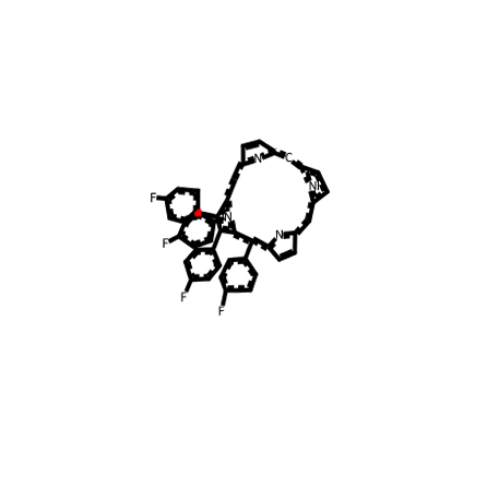 Fc1ccc(-c2c(-c3ccc(F)cc3)c3c(-c4ccc(F)cc4)c4nc(cc5ccc(cc6nc(cc2n3-c2ccc(F)cc2)C=C6)[nH]5)C=C4)cc1